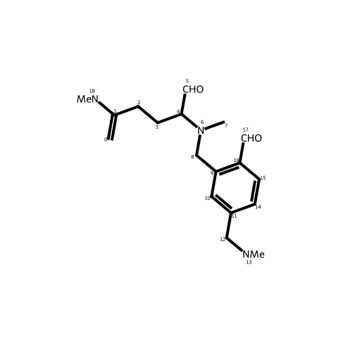 C=C(CCC(C=O)N(C)Cc1cc(CNC)ccc1C=O)NC